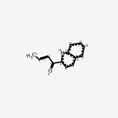 C/C=C/C(=O)c1ccc2ccccc2n1